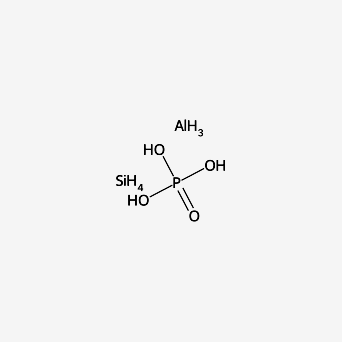 O=P(O)(O)O.[AlH3].[SiH4]